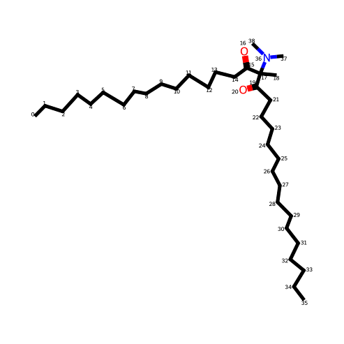 CCCCCCCCCCCCCCCC(=O)C(C)(C(=O)CCCCCCCCCCCCCCC)N(C)C